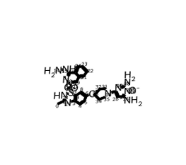 CC1=Nc2ccc(Cl)cc2S(=O)(=O)N1.NNc1nncc2ccccc12.Nc1cc(N2CCCCC2)nc(N)[n+]1[O-]